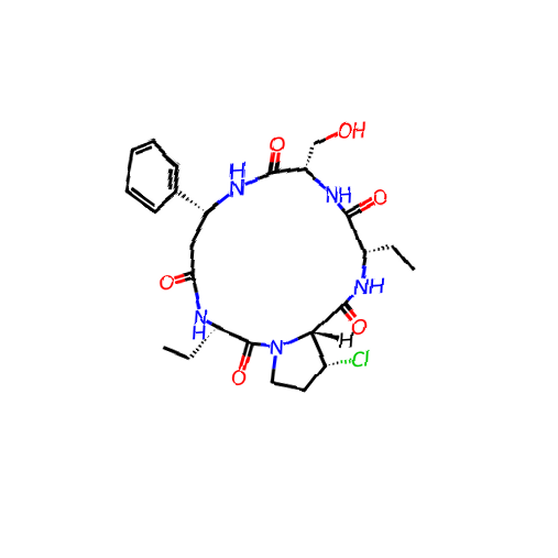 CC[C@@H]1NC(=O)[C@@H]2[C@H](Cl)CCN2C(=O)[C@H](CC)NC(=O)C[C@H](c2ccccc2)NC(=O)[C@H](CO)NC1=O